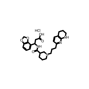 Cl.O=C(O)CC(NC(=O)C1CCCN(CCCc2ccc3c(n2)NCCC3)C1)c1cccc2c1OCO2